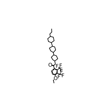 CCCC1CCC(C2CCC(C3CCC(CC(=O)c4ccc(OCC)c(C(F)(F)F)c4C(F)(F)F)CC3)CC2)CC1